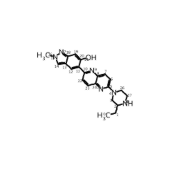 CCC1CN(c2ccc3nc(-c4cc5cn(C)nc5cc4O)ccc3n2)CCN1